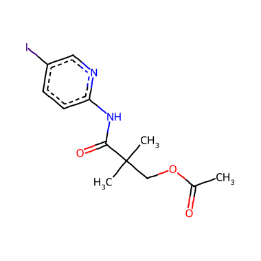 CC(=O)OCC(C)(C)C(=O)Nc1ccc(I)cn1